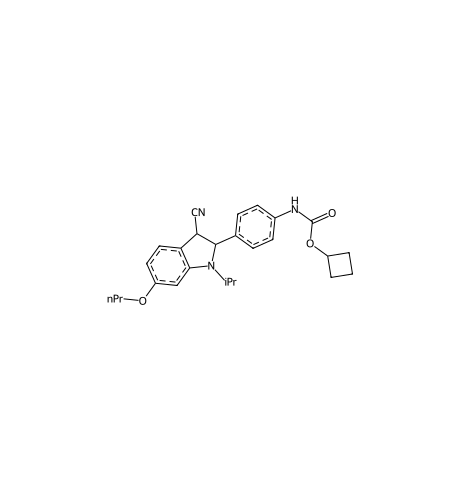 CCCOc1ccc2c(c1)N(C(C)C)C(c1ccc(NC(=O)OC3CCC3)cc1)C2C#N